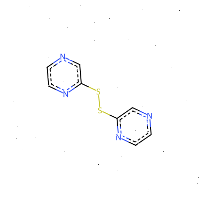 c1cnc(SSc2cnccn2)cn1